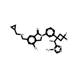 Cn1cnnc1[C@@H](F)C1(c2cccc(N3Cc4c(cc(CNCC5CC5)cc4C(F)(F)F)C3=O)c2)CC(F)(F)C1